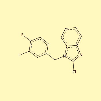 Fc1ccc(Cn2c(Cl)nc3ccccc32)cc1F